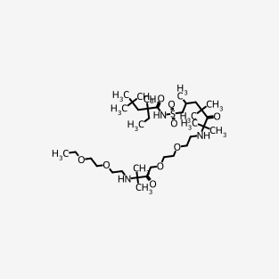 CCOCCOCCNC(C)(C)C(=O)COCCOCCNC(C)(C)C(=O)C(C)(C)CC(C)CS(=O)(=O)NC(=O)C(C)(CC)CC(C)(C)C